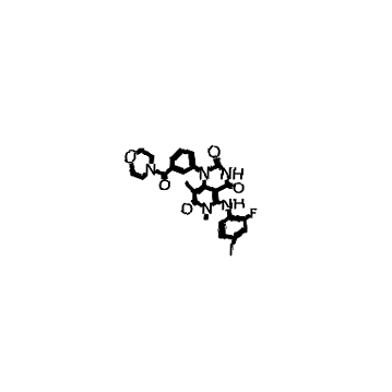 Cc1c(=O)n(C)c(Nc2ccc(I)cc2F)c2c(=O)[nH]c(=O)n(-c3cccc(C(=O)N4CCOCC4)c3)c12